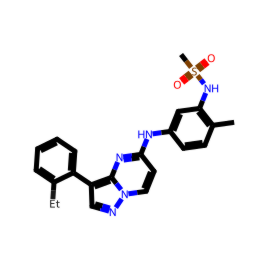 CCc1ccccc1-c1cnn2ccc(Nc3ccc(C)c(NS(C)(=O)=O)c3)nc12